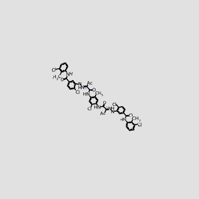 CC(=O)/C(=N\Nc1cc(C(=O)Nc2cccc(Cl)c2C)ccc1Cl)C(=O)Nc1cc(Cl)c(NC(=O)/C(=N/Nc2cc(C(=O)Nc3cccc(Cl)c3C)ccc2Cl)C(C)=O)cc1C